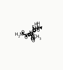 C[C@H]1COCCN1c1nc(-c2ccc(NC(=O)NC3CC3)c(F)c2)nc2c1CN(C(=O)CCC(N)=O)C2